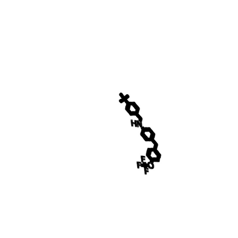 CC(C)(C)c1ccc(CNc2ccc(Cc3ccc(OC(F)(F)F)cc3)cc2)cc1